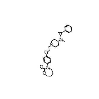 CN(C1CCN(CCOc2ccc(N3CCCCOC3=O)cc2)CC1)[C@@H]1C[C@H]1c1ccccc1